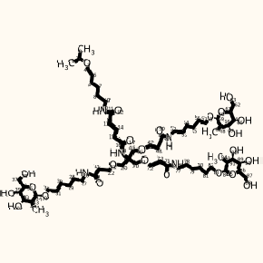 CC(C)OCCCCCCNC(=O)CCCC(=O)NC(COCCC(=O)NCCCCCCO[C@@H]1OC(CO)[C@H](O)[C@H](O)C1C)(COCCC(=O)NCCCCCCO[C@@H]1OC(CO)[C@H](O)[C@H](O)C1C)COCCC(=O)NCCCCCCO[C@@H]1OC(CO)[C@H](O)[C@H](O)C1C